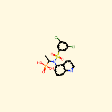 CC(N(c1cccc2ncccc12)S(=O)(=O)c1cc(Cl)cc(Cl)c1)P(=O)(O)O